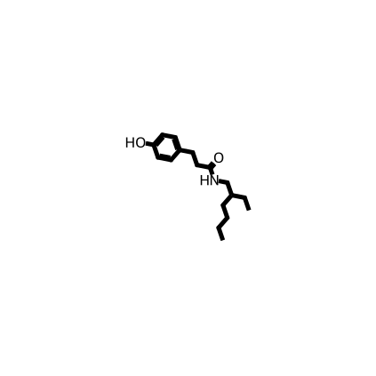 CCCCC(CC)CNC(=O)CCc1ccc(O)cc1